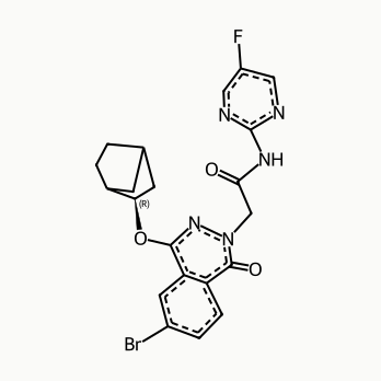 O=C(Cn1nc(O[C@@H]2CC3CCC2C3)c2cc(Br)ccc2c1=O)Nc1ncc(F)cn1